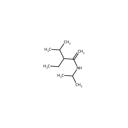 C=C(NC(C)C)C(CC)C(C)C